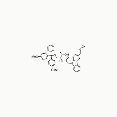 COc1ccc(C(OC[C@@H](NC(=O)Cn2c3ccccc3c3cc(/C=C/C#N)ccc32)[C@@H](C)O)(c2ccccc2)c2ccc(OC)cc2)cc1